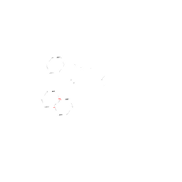 CCOC(=O)C[C@H](O)[C@H](Cc1ccccc1)N(Cc1ccccc1)Cc1ccccc1